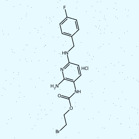 Cl.Nc1nc(NCc2ccc(F)cc2)ccc1NC(=O)OCCBr